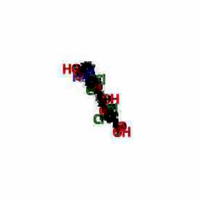 O=C(O)CCc1cc(Cl)c(OCC[C@H](O)CCCOc2c(Cl)cc(Nc3ncccc3C(=O)O)cc2Cl)c(Cl)c1